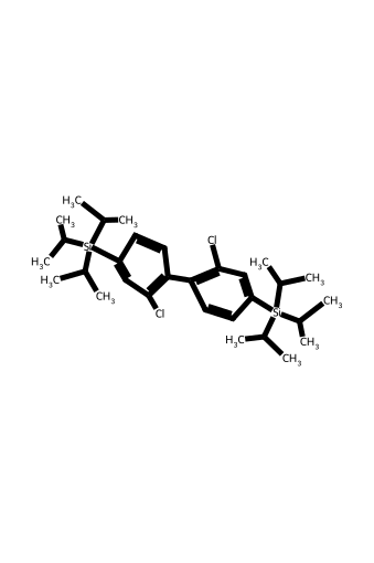 CC(C)[Si](c1ccc(-c2ccc([Si](C(C)C)(C(C)C)C(C)C)cc2Cl)c(Cl)c1)(C(C)C)C(C)C